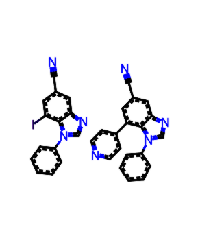 N#Cc1cc(-c2ccncc2)c2c(c1)ncn2-c1ccccc1.N#Cc1cc(I)c2c(c1)ncn2-c1ccccc1